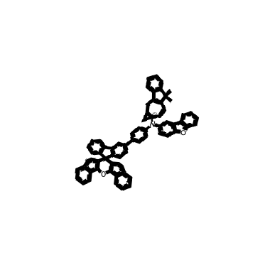 CC1(C)C2=C(CC3C[C@@]3(N(c3ccc(-c4ccc5c(c4)-c4ccccc4C54c5ccc6ccccc6c5Oc5c4ccc4ccccc54)cc3)c3ccc4oc5ccccc5c4c3)C=C2)c2ccccc21